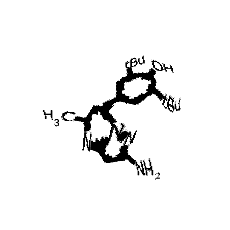 Cc1cc(-c2cc(C(C)(C)C)c(O)c(C(C)(C)C)c2)n2nc(N)cc2n1